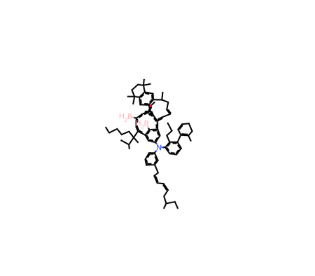 Bc1cc(C(C)(CCCCC)C(C)C)c2cc(N(c3cccc(C/C=C\C=C/CC(C)CC)c3)c3cccc(C4=C(C)CCC=C4)c3CCC)cc(c2B)c2/c(c(=C\C)/c1)=C(\C)c1cc3c(cc1C(C)C/C=C/C=2)C(C)(C)CCC3(C)C